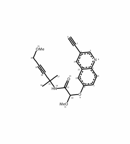 C#Cc1cnc2ccc(OC(OC)C(=O)NC(C)(C)C#CCOC)cc2c1